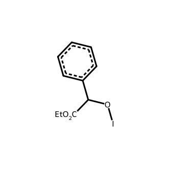 CCOC(=O)C(OI)c1ccccc1